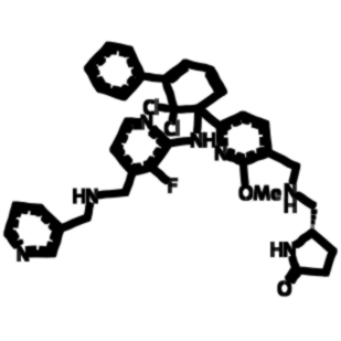 COc1nc(C2(Nc3nccc(CNCc4cccnc4)c3F)C=CC=C(c3ccccc3)C2(Cl)Cl)ccc1CNC[C@@H]1CCC(=O)N1